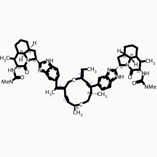 C/C=C1\C=C(\c2ccc3[nH]c([C@@H]4C[C@@H]5CCCC6C(C)[C@H](NC(=O)NC)C(=O)N4[C@@H]65)nc3c2)[C@H](C)CC[C@@H](C)/C=C\C(=C(/C)c2ccc3[nH]c([C@@H]4C[C@@H]5CCCC6C(C)[C@H](NC(=O)NC)C(=O)N4[C@@H]65)nc3c2)CC1